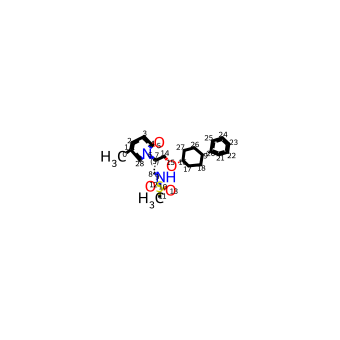 Cc1ccc(=O)n([C@@H](CNS(C)(=O)=O)CO[C@H]2CC[C@@H](c3ccccc3)CC2)c1